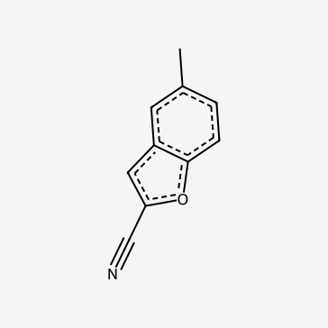 Cc1ccc2oc(C#N)cc2c1